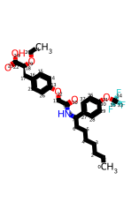 CCCCCCCC(NC(=O)COc1ccc(C[C@H](OCC)C(=O)O)cc1)c1ccc(OC(F)(F)F)cc1